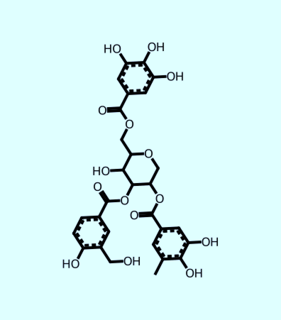 Cc1cc(C(=O)OC2COC(COC(=O)c3cc(O)c(O)c(O)c3)C(O)C2OC(=O)c2ccc(O)c(CO)c2)cc(O)c1O